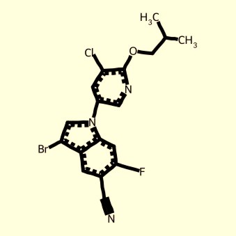 CC(C)COc1ncc(-n2cc(Br)c3cc(C#N)c(F)cc32)cc1Cl